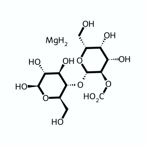 O=C(O)O[C@H]1[C@H](O[C@H]2[C@H](O)[C@@H](O)[C@H](O)O[C@@H]2CO)O[C@H](CO)[C@H](O)[C@@H]1O.[MgH2]